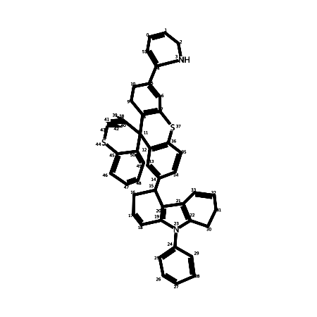 C1=CCNC(C2=CC3=C(CC2)C2(c4cc(C5CC=Cc6c5c5c(n6-c6ccccc6)CCC=C5)ccc4S3)c3ccccc3Sc3ccccc32)=C1